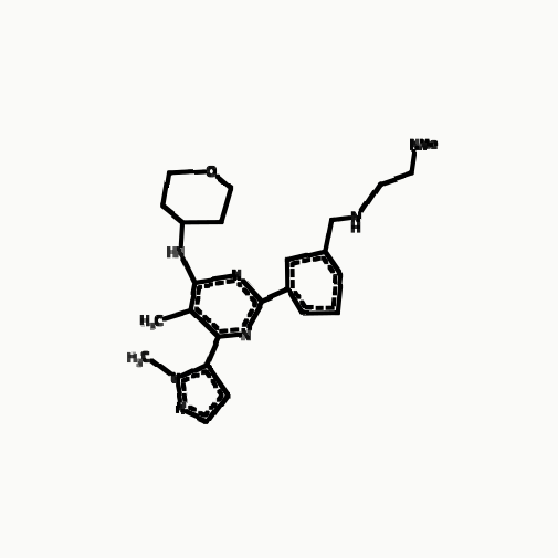 CNCCNCc1cccc(-c2nc(NC3CCOCC3)c(C)c(-c3ccnn3C)n2)c1